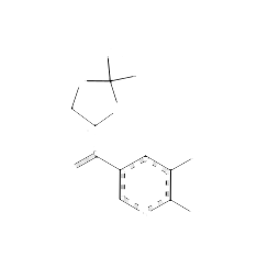 CC1(C)OC[C@@H](C(=O)c2cnc(Cl)c(Cl)c2)O1